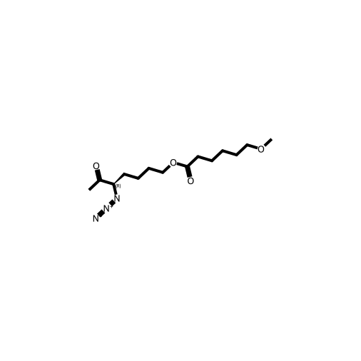 COCCCCCC(=O)OCCCC[C@@H](N=[N+]=[N-])C(C)=O